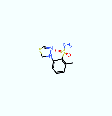 Cc1cccc(N2CSC=N2)c1S(N)(=O)=O